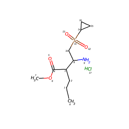 CCCC(C(=O)OC)C(N)CS(=O)(=O)C1CC1.Cl